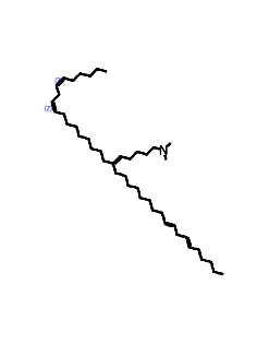 CCCCCC=CCC=CCCCCCCCCC(=CCCCCN(C)C)CCCCCCCC/C=C\C/C=C\CCCCC